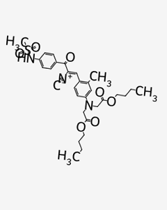 [C-]#[N+]C(=Cc1ccc(N(CC(=O)OCCCC)CC(=O)OCCCC)cc1C)C(=O)c1ccc(NS(C)(=O)=O)cc1